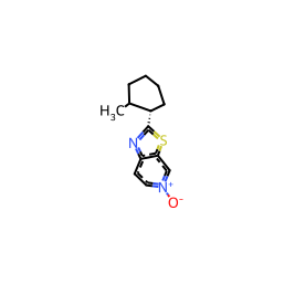 CC1CCCC[C@@H]1c1nc2cc[n+]([O-])cc2s1